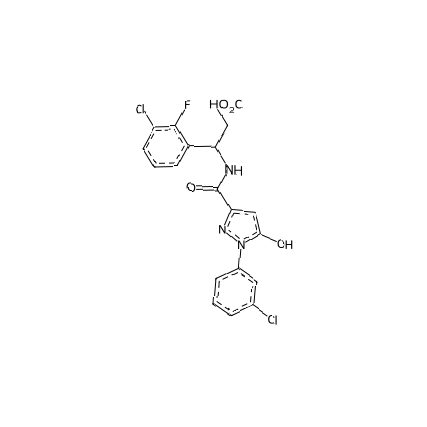 O=C(O)CC(NC(=O)c1cc(O)n(-c2cccc(Cl)c2)n1)c1cccc(Cl)c1F